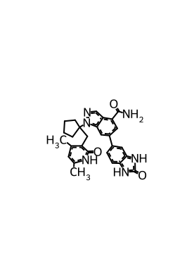 Cc1cc(C)c(CC2(n3ncc4c(C(N)=O)cc(-c5ccc6[nH]c(=O)[nH]c6c5)cc43)CCCC2)c(=O)[nH]1